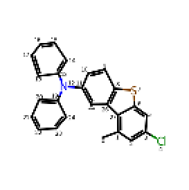 Cc1cc(Cl)cc2sc3ccc(N(c4ccccc4)c4ccccc4)cc3c12